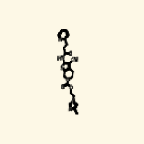 Cc1cn(CCOC(=O)N2CCc3c(sc(NC(=O)CCc4ccccn4)c3C#N)C2)cn1